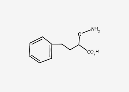 NOC(CCc1ccccc1)C(=O)O